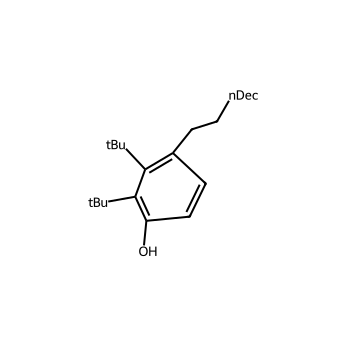 CCCCCCCCCCCCc1ccc(O)c(C(C)(C)C)c1C(C)(C)C